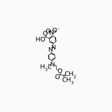 C=C(C)C(=O)OCCN(C)c1ccc(N=Nc2ccc([N+](=O)[O-])c(C(=O)O)c2)cc1